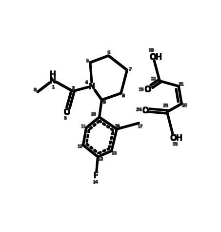 CNC(=O)N1CCCCC1c1ccc(F)cc1C.O=C(O)/C=C\C(=O)O